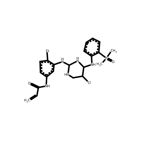 C=CC(=O)Nc1ccc(CC)c(NC2NCC(Cl)C(Nc3ccccc3P(C)(C)=O)N2)c1